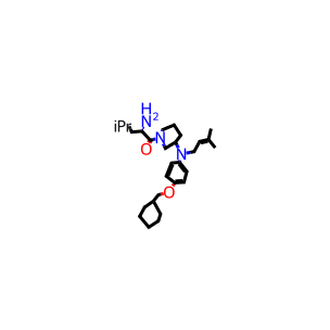 CC(C)=CCN(c1ccc(OCC2CCCCC2)cc1)C1CCCN(C(=O)[C@@H](N)CC(C)C)C1